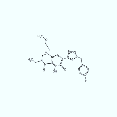 CCN1C[C@H](CCOC)n2cc(-c3nnc(Cc4ccc(F)cc4)s3)c(=O)c(O)c2C1=O